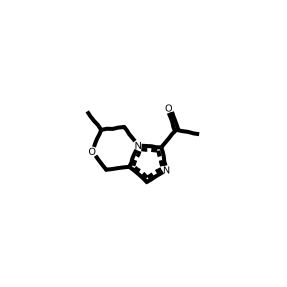 CC(=O)c1ncc2n1CC(C)OC2